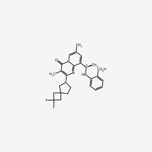 Cc1cc([C@@H](C)Nc2ccccc2C(=O)O)c2nc(N3CCC4(C3)CC(F)(F)C4)c(C)c(=O)n2c1